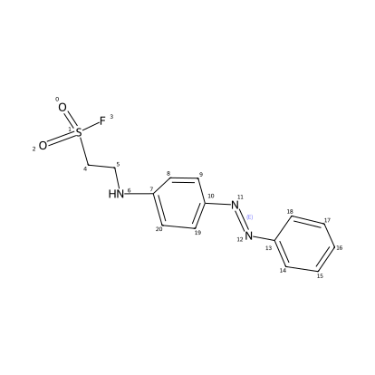 O=S(=O)(F)CCNc1ccc(/N=N/c2ccccc2)cc1